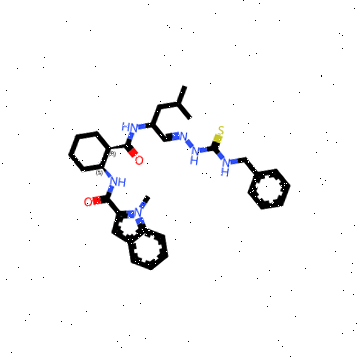 CC(C)CC(C=NNC(=S)NCc1ccccc1)NC(=O)[C@@H]1CCCC[C@@H]1NC(=O)c1cc2ccccc2n1C